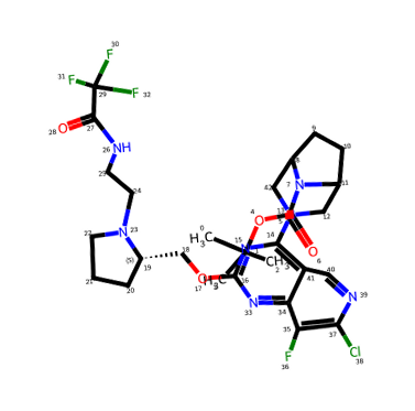 CC(C)(C)OC(=O)N1C2CCC1CN(c1nc(OC[C@@H]3CCCN3CCNC(=O)C(F)(F)F)nc3c(F)c(Cl)ncc13)C2